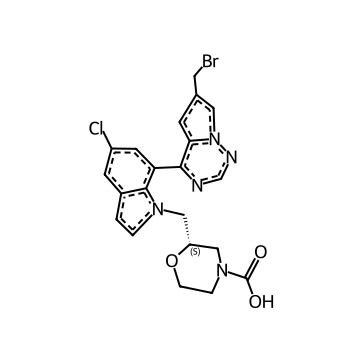 O=C(O)N1CCO[C@H](Cn2ccc3cc(Cl)cc(-c4ncnn5cc(CBr)cc45)c32)C1